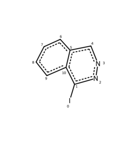 Ic1nncc2ccccc12